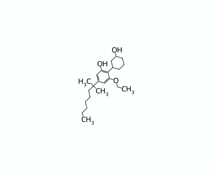 CCCCCCC(C)(C)c1cc(O)c(C2CCCC(O)C2)c(OCC)c1